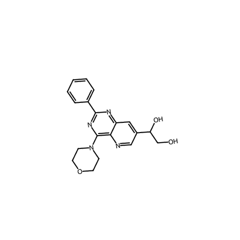 OCC(O)c1cnc2c(N3CCOCC3)nc(-c3ccccc3)nc2c1